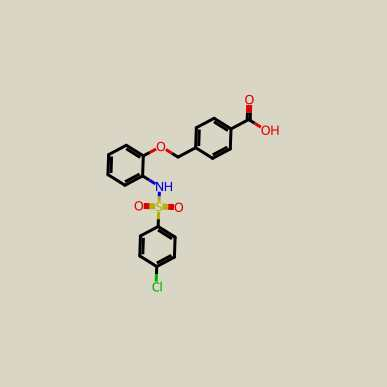 O=C(O)c1ccc(COc2ccccc2NS(=O)(=O)c2ccc(Cl)cc2)cc1